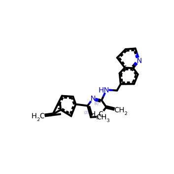 C=C(C)/C(=N\C(=C/C)c1ccc2c(c1)C2=C)NCc1ccc2ncccc2c1